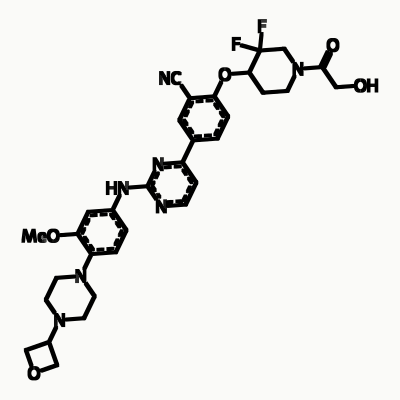 COc1cc(Nc2nccc(-c3ccc(OC4CCN(C(=O)CO)CC4(F)F)c(C#N)c3)n2)ccc1N1CCN(C2COC2)CC1